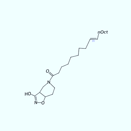 CCCCCCCC/C=C/CCCCCCCC(=O)N1CCC2ON=C(O)C2C1